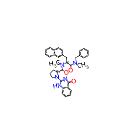 CN(Cc1ccccc1)C(=O)[C@H](Cc1ccc2ccccc2c1)N(C)C(=O)[C@@H]1CCCN1c1nc(=O)c2ccccc2[nH]1